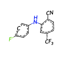 N#Cc1ccc(C(F)(F)F)cc1Nc1ccc(F)cc1